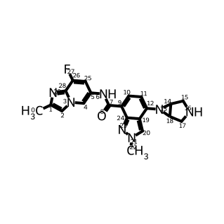 Cc1cn2cc(NC(=O)c3ccc(N4C5CNCC54)c4cn(C)nc34)cc(F)c2n1